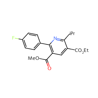 CCOC(=O)c1cc(C(=O)OC)c(-c2ccc(F)cc2)nc1C(C)C